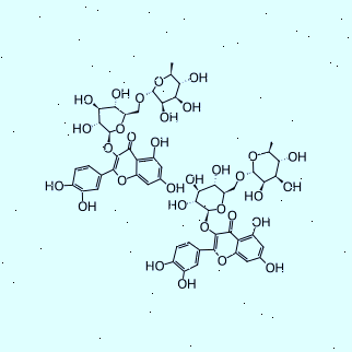 C[C@@H]1O[C@@H](OC[C@H]2O[C@@H](Oc3c(-c4ccc(O)c(O)c4)oc4cc(O)cc(O)c4c3=O)[C@H](O)[C@@H](O)[C@@H]2O)[C@H](O)[C@H](O)[C@H]1O.C[C@@H]1O[C@@H](OC[C@H]2O[C@@H](Oc3c(-c4ccc(O)c(O)c4)oc4cc(O)cc(O)c4c3=O)[C@H](O)[C@@H](O)[C@@H]2O)[C@H](O)[C@H](O)[C@H]1O